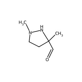 CN1CCC(C)(C=O)N1